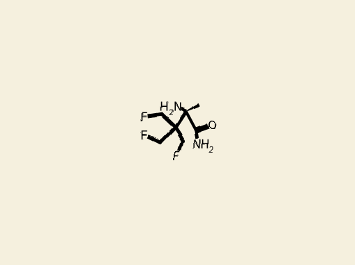 C[C@@](N)(C(N)=O)C(CF)(CF)CF